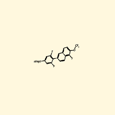 CCCCCCCc1cc(F)c(-c2ccc3c(F)c(OC(F)(F)F)ccc3c2)c(F)c1